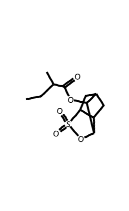 CCC(C)C(=O)OC1C2CC3C1OS(=O)(=O)C3C2